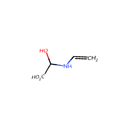 C=CNC(O)C(=O)O